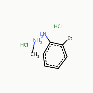 CCc1ccccc1N.CN.Cl.Cl